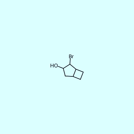 OC1CC2CCC2C1Br